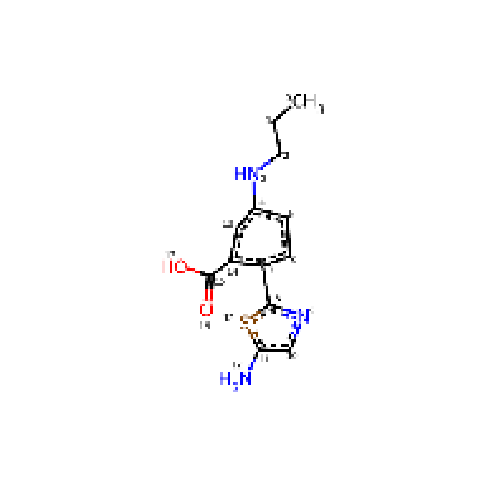 CCCNc1ccc(-c2ncc(N)s2)c(C(=O)O)c1